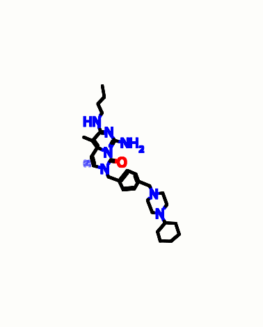 CCCCNc1nc(N)nc(/C=C\N(C=O)Cc2ccc(CN3CCN(C4CCCCC4)CC3)cc2)c1C